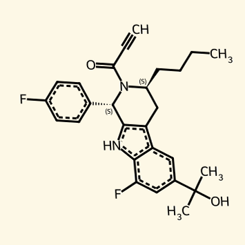 C#CC(=O)N1[C@@H](CCCC)Cc2c([nH]c3c(F)cc(C(C)(C)O)cc23)[C@@H]1c1ccc(F)cc1